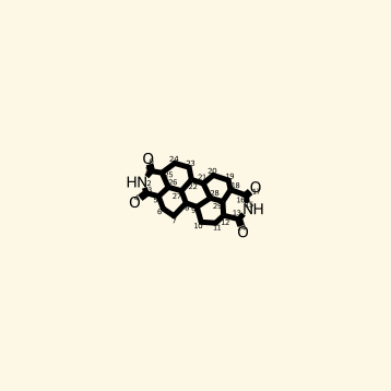 O=C1NC(=O)C2CCC3C4CCC5C(=O)NC(=O)C6CCC(C7CCC1C2C73)C4C65